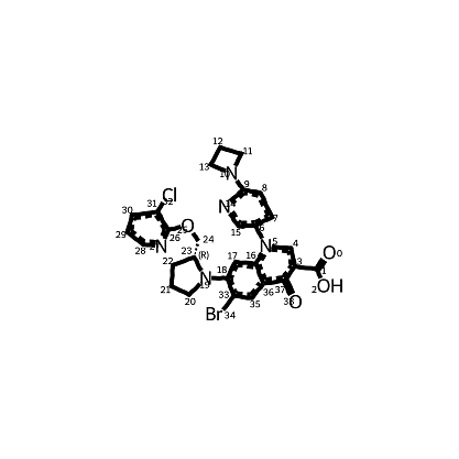 O=C(O)c1cn(-c2ccc(N3CCC3)nc2)c2cc(N3CCC[C@@H]3COc3ncccc3Cl)c(Br)cc2c1=O